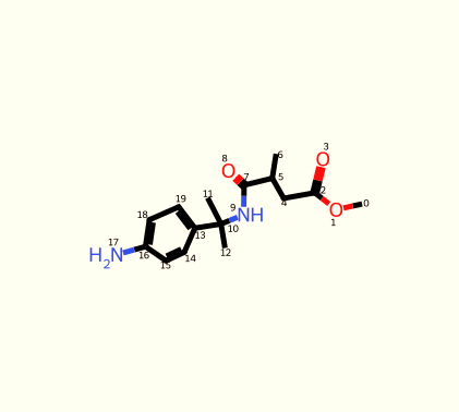 COC(=O)CC(C)C(=O)NC(C)(C)c1ccc(N)cc1